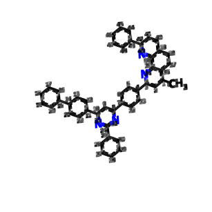 Cc1cc(-c2ccc(-c3cc(-c4ccc(-c5ccccc5)cc4)nc(-c4ccccc4)n3)cc2)nc2c1ccc1ccc(-c3ccccc3)nc12